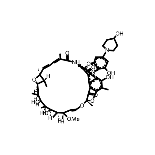 CO[C@H]1/C=C/O[C@@]2(C)Oc3c(C)c(O)c4c(=O)c(c5oc6cc(N7CCC(O)CC7)cc(O)c6nc-5c4c3C2=O)NC(=O)/C(C)=C\C=C\[C@]2(C)O[C@H]([C@@H](C)[C@@H](O)[C@@H](C)[C@H](O)[C@@H]1C)[C@H]2C